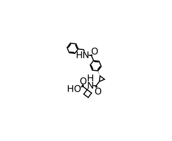 O=C(NCc1ccccc1)c1ccc([C@@H]2CC2C(=O)NC2(C(=O)O)CCC2)cc1